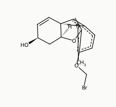 CN1CC[C@@]23C=C[C@H](O)C[C@@H]2Oc2c(OCBr)ccc(c23)C1